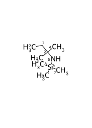 CCC(C)(C)N[Si](C)(C)C